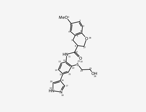 COc1ccc2c(c1)CC(C(=O)Nc1ccc(-c3cn[nH]c3)cc1SCCO)CO2